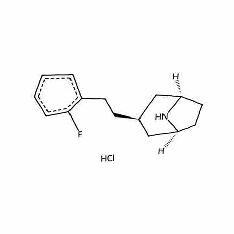 Cl.Fc1ccccc1CC[C@H]1C[C@H]2CC[C@@H](C1)N2